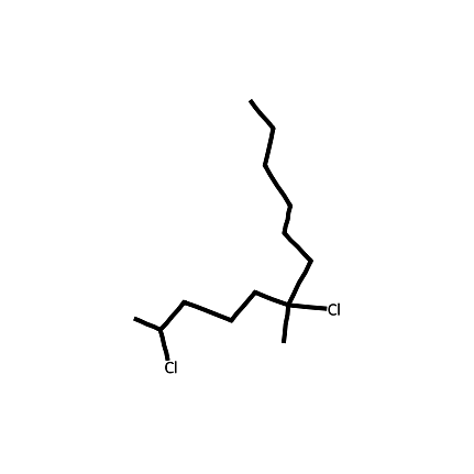 CCCCCCC(C)(Cl)CCCC(C)Cl